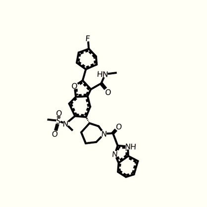 CNC(=O)c1c(-c2ccc(F)cc2)oc2cc(N(C)S(C)(=O)=O)c([C@H]3CCCN(C(=O)c4nc5ccccc5[nH]4)C3)cc12